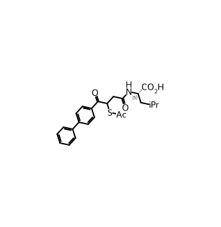 CC(=O)SC(CC(=O)N[C@@H](CC(C)C)C(=O)O)C(=O)c1ccc(-c2ccccc2)cc1